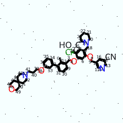 Cc1c(COc2cc(OCc3cncc(C#N)c3)c(CN3CCCC[C@H]3C(=O)O)cc2Cl)cccc1-c1cccc(OCCCN2CCC3(CCOCC3)CC2)c1